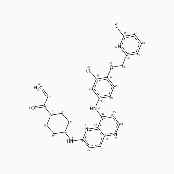 C=CC(=O)N1CCC(Nc2ccc3ncnc(Nc4ccc(OCc5cccc(F)n5)c(Cl)c4)c3n2)CC1